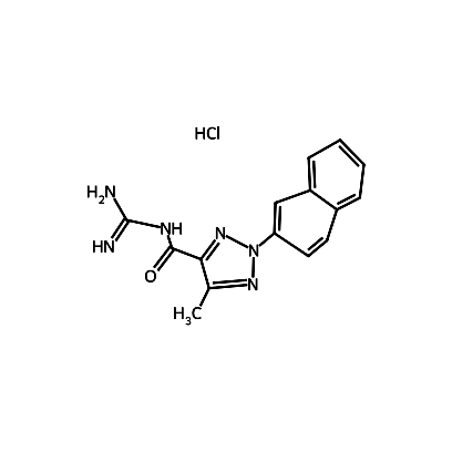 Cc1nn(-c2ccc3ccccc3c2)nc1C(=O)NC(=N)N.Cl